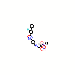 O=C(O)C1(C(=O)NC2CCC2)CCN(Cc2ccc(-c3noc(-c4ccc(-c5ccccc5)c(F)c4)n3)cc2)CC1